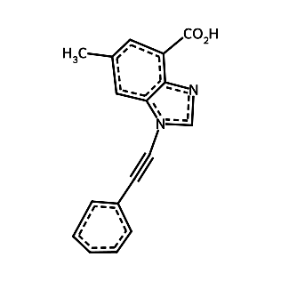 Cc1cc(C(=O)O)c2ncn(C#Cc3ccccc3)c2c1